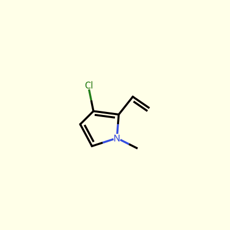 C=Cc1c(Cl)ccn1C